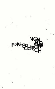 N#Cc1cncc(COc2cc(O[C@H]3CCc4c(-c5cccc(OCCCN6CC7(CC(F)C7)C6)c5Cl)cccc43)c(Cl)cc2CN[C@@H]2CC[C@H]2O)c1